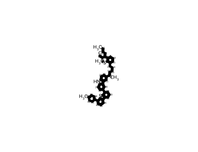 C\C=C/C(=C\C=C\C)c1cccc(C/C=C\C=C(/C)c2ccc3[nH]c4ccc(-c5cccc6c5sc5c(C7=CC=C(C)CC7)cccc56)cc4c3c2)c1SC